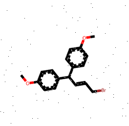 COc1ccc(C(C=CCBr)c2ccc(OC)cc2)cc1